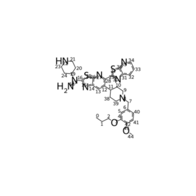 CCCOc1cc(CN2CCC(c3cc4nc(N(N)C5CCNCC5)sc4nc3-c3nc4cccnc4s3)CC2)ccc1OC